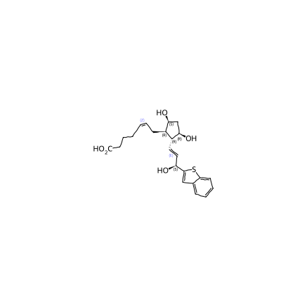 O=C(O)CCC/C=C\C[C@@H]1[C@@H](/C=C/[C@H](O)c2cc3ccccc3s2)[C@H](O)C[C@@H]1O